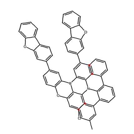 Cc1cccc(-c2cccc(-c3ccccc3)c2N2c3ccc(-c4ccc5c(c4)oc4ccccc45)cc3B3c4cc(-c5ccc6c(c5)oc5ccccc56)ccc4Oc4cc(Cl)cc2c43)c1